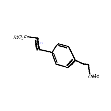 CCOC(=O)/C=C/c1ccc(COC)cc1